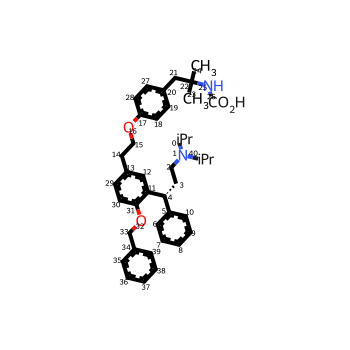 CC(C)N(CC[C@H](c1ccccc1)c1cc(CCOc2ccc(CC(C)(C)NC(=O)O)cc2)ccc1OCc1ccccc1)C(C)C